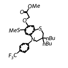 CCCCC1(CCCC)CSc2cc(OCC(=O)OC)c(SC)cc2N(c2ccc(C(F)(F)F)cc2)C1